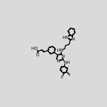 O=C(O)/C=C/c1cccc(-c2cnc(Nc3ccc(F)c(I)c3)nc2NCCCc2nc3ccccc3[nH]2)c1